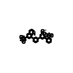 CC(C)(c1cc(-c2cccc(-c3cc(-c4ccccc4S(C)(=O)=O)c[n+]([O-])c3)c2)c2ncccc2c1)S(C)(=O)=O